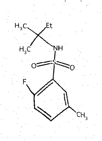 CCC(C)(C)NS(=O)(=O)c1cc(C)ccc1F